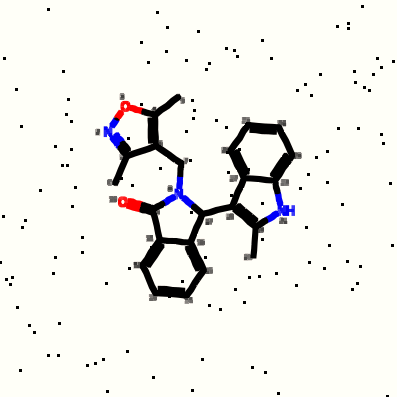 Cc1noc(C)c1CN1C(=O)c2ccccc2C1c1c(C)[nH]c2ccccc12